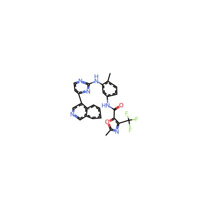 Cc1nc(C(F)(F)F)c(C(=O)Nc2ccc(C)c(Nc3nccc(-c4cncc5ccccc45)n3)c2)o1